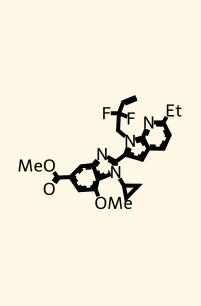 C=CC(F)(F)Cn1c(-c2nc3cc(C(=O)OC)cc(OC)c3n2C2CC2)cc2ccc(CC)nc21